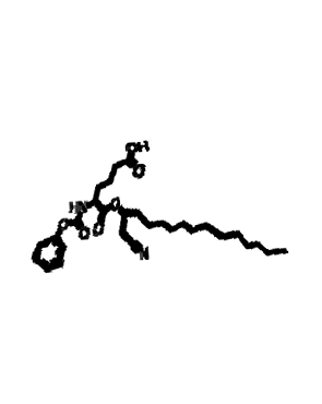 CCCCCCCCCCCCCC(CC#N)OC(=O)C(CCCC(=O)O)NC(=O)Oc1ccccc1